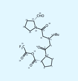 CCCCN(CC(=O)N1CCC[C@@H]1C(=O)OC(=O)C(F)(F)F)CC(=O)N1CCC[C@@H]1C=O